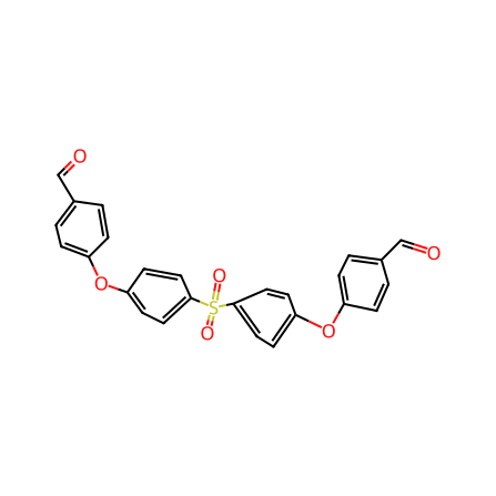 O=Cc1ccc(Oc2ccc(S(=O)(=O)c3ccc(Oc4ccc(C=O)cc4)cc3)cc2)cc1